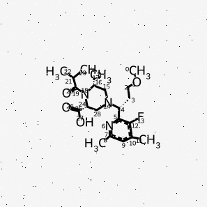 COCC[C@H](c1nc(C)cc(C)c1F)N1C[C@@H](C)N(C(=O)C(C)C)[C@@H](C(=O)O)C1